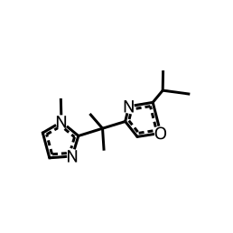 CC(C)c1nc(C(C)(C)c2nccn2C)co1